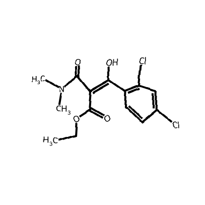 CCOC(=O)/C(C(=O)N(C)C)=C(/O)c1ccc(Cl)cc1Cl